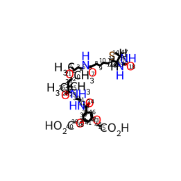 CC(C)(CCNC(=O)CCCC[C@@H]1SC[C@@H]2NC(=O)N[C@@H]21)OCCC(C)(C)C(=O)NCCNC(=O)c1cc(OCC(=O)O)cc(OCC(=O)O)c1